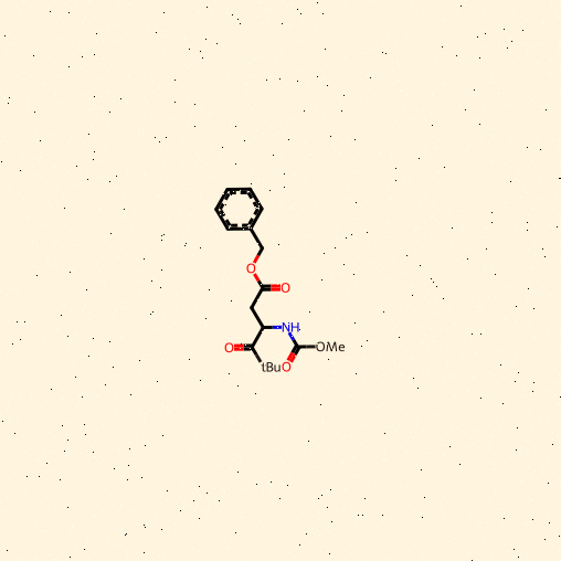 COC(=O)NC(CC(=O)OCc1ccccc1)C(=O)C(C)(C)C